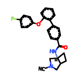 N#CN1CC2CC[C@]2(NC(=O)c2ccc(-c3ccccc3Oc3ccc(F)cc3)cc2)C1